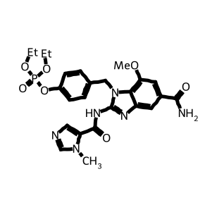 CCOP(=O)(OCC)Oc1ccc(Cn2c(NC(=O)c3cncn3C)nc3cc(C(N)=O)cc(OC)c32)cc1